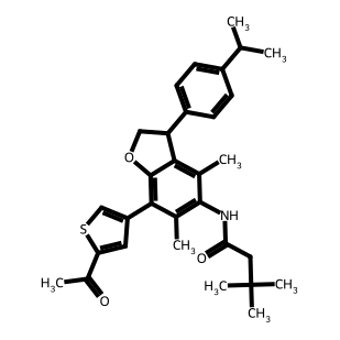 CC(=O)c1cc(-c2c(C)c(NC(=O)CC(C)(C)C)c(C)c3c2OCC3c2ccc(C(C)C)cc2)cs1